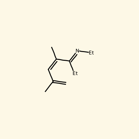 C=C(C)/C=C(C)\C(CC)=N\CC